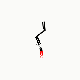 C=C[C]=[14C]=O